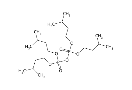 CC(C)CCOP(=O)(OCCC(C)C)OP(=O)(OCCC(C)C)OCCC(C)C